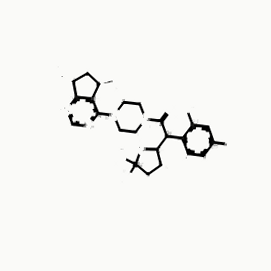 C[C@@H]1C[C@@H](O)c2ncnc(N3CCN(C(=O)C(c4ccc(Cl)cc4Cl)C4CCC(C)(C)N4)CC3)c21